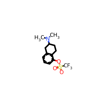 CN(C)C1CCc2c(cccc2OS(=O)(=O)C(F)(F)F)C1